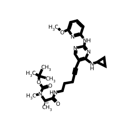 COc1cccc(Nc2ncc(C#CCCCNC(=O)[C@H](C)N(C)C(=O)OC(C)(C)C)c(NC3CC3)n2)n1